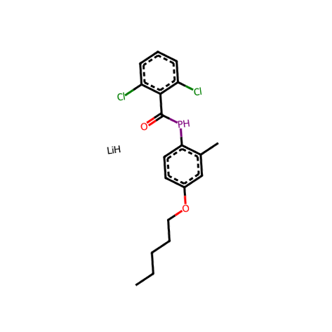 CCCCCOc1ccc(PC(=O)c2c(Cl)cccc2Cl)c(C)c1.[LiH]